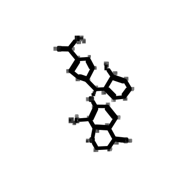 Cc1c(O[C@H](c2ccc(C(N)=O)cc2)c2ccccc2F)ccc2c1OCCC2=O